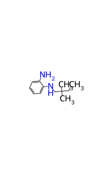 CCC(C)(C)CNc1ccccc1N